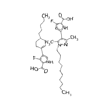 CCCCCC1CC=C(c2c[nH]c(C(=O)O)c2F)CC1.CCCCCCCCCCn1nc(C)c(-c2cc(F)c(C(=O)O)[nH]2)c1C